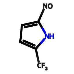 O=Nc1ccc(C(F)(F)F)[nH]1